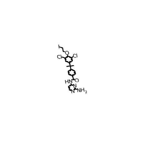 CC(C)(c1ccc(C(=O)Nc2ccnc(N)n2)cc1)c1cc(Cl)c(OCCI)c(Cl)c1